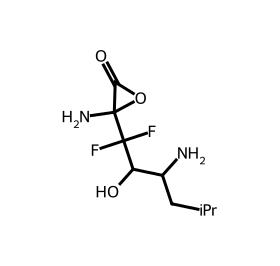 CC(C)CC(N)C(O)C(F)(F)C1(N)OC1=O